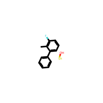 Cc1c(F)cccc1-c1cc[c]cc1.OS